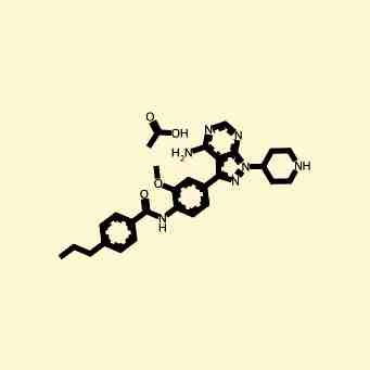 CC(=O)O.CCCc1ccc(C(=O)Nc2ccc(-c3nn(C4CCNCC4)c4ncnc(N)c34)cc2OC)cc1